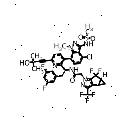 Cn1nc(NS(C)(=O)=O)c2c(Cl)ccc(-c3ccc(C#CC(C)(C)O)nc3[C@H](Cc3cc(F)cc(F)c3)NC(=O)Cn3nc(C(F)(F)F)c4c3C(F)(F)[C@@H]3CC43)c21